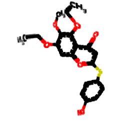 CCOc1cc2oc(Sc3ccc(O)cc3)cc(=O)c2c(OCC)c1OC